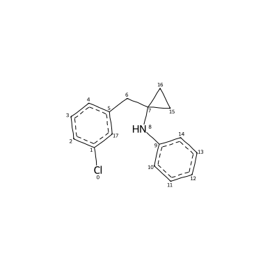 Clc1cccc(CC2(Nc3ccccc3)CC2)c1